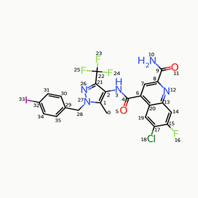 Cc1c(NC(=O)c2cc(C(N)=O)nc3cc(F)c(Cl)cc23)c(C(F)(F)F)nn1Cc1ccc(I)cc1